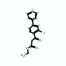 CCOC(=O)CC(=O)c1ccc(-c2ccncc2)cc1F